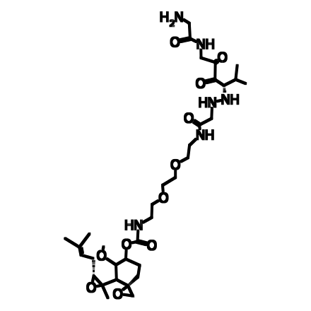 COC1C(OC(=O)NCCOCCOCCNC(=O)CNN[C@H](C(=O)C(=O)CNC(=O)CN)C(C)C)CC[C@]2(CO2)C1C1(C)O[C@@H]1CC=C(C)C